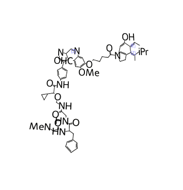 C/C=c1/c(O)cc2c(/c1=C(\C)C(C)C)CCN2C(=O)CCCCOc1cc(/N=C\C2CC(c3ccc(NC(=O)C(OCNC(=O)CNC(=O)C(Cc4ccccc4)NC(=O)CNC)C4CC4)cc3)=CN2C)c(C=O)cc1OC